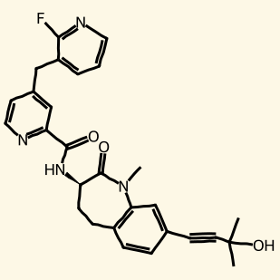 CN1C(=O)[C@H](NC(=O)c2cc(Cc3cccnc3F)ccn2)CCc2ccc(C#CC(C)(C)O)cc21